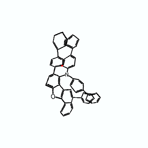 C1=CC(c2ccc(-c3ccc4oc5c6ccccc6c(-c6ccccc6)cc5c4c3N(c3ccc(-c4ccccc4)cc3)c3ccc(-c4ccccc4)cc3)cc2)=CCC1